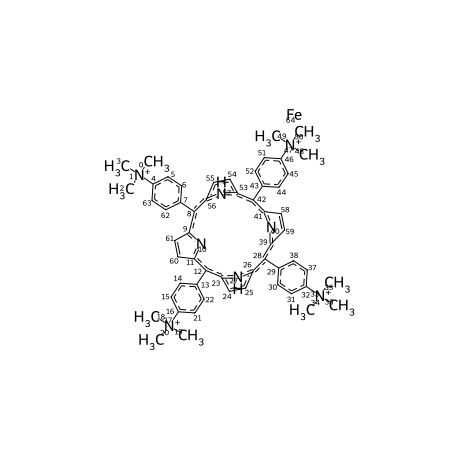 C[N+](C)(C)c1ccc(-c2c3nc(c(-c4ccc([N+](C)(C)C)cc4)c4ccc([nH]4)c(-c4ccc([N+](C)(C)C)cc4)c4nc(c(-c5ccc([N+](C)(C)C)cc5)c5ccc2[nH]5)C=C4)C=C3)cc1.[Fe]